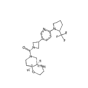 O=C(N1CC(c2ccc(N3CCCC3C(F)(F)F)nc2)C1)N1CC[C@@H]2OCCN[C@@H]2C1